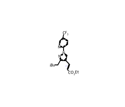 CCOC(=O)/C=C/c1cn(-c2ccc(C(F)(F)F)cn2)nc1CC(C)CC